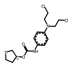 O=C(Nc1ccc(N(CCCl)CCCl)cc1)O[C@H]1CCSC1